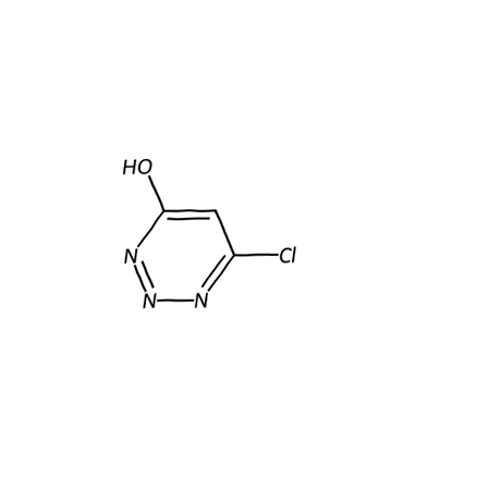 Oc1cc(Cl)nnn1